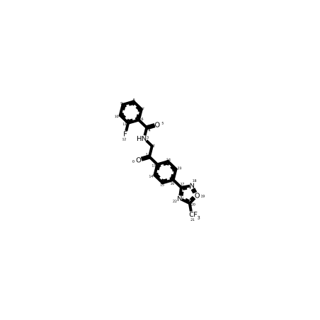 O=C(CNC(=O)c1ccccc1F)c1ccc(-c2noc(C(F)(F)F)n2)cc1